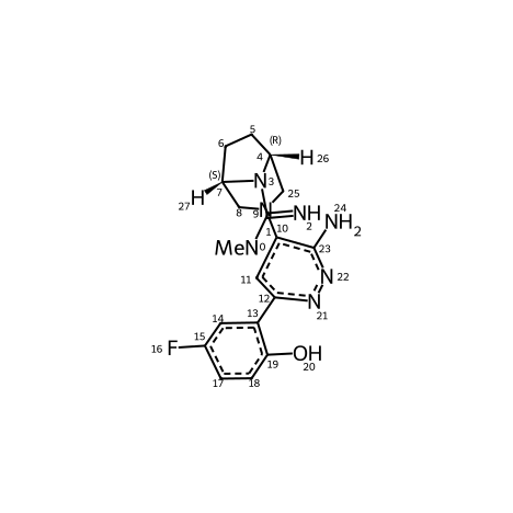 CNC(=N)N1[C@@H]2CC[C@H]1CN(c1cc(-c3cc(F)ccc3O)nnc1N)C2